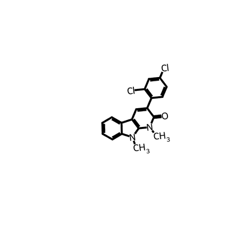 Cn1c(=O)c(-c2ccc(Cl)cc2Cl)cc2c3ccccc3n(C)c21